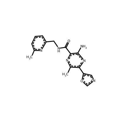 Cc1cccc(CNC(=O)c2nc(C)c(-c3cnco3)nc2N)n1